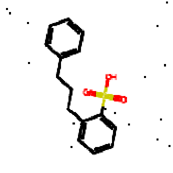 O=S(=O)(O)c1ccccc1CCCc1ccccc1